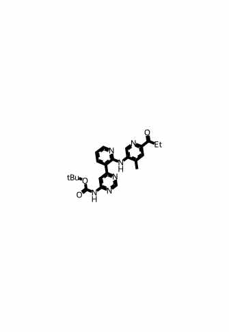 CCC(=O)c1cc(C)c(Nc2ncccc2-c2cc(NC(=O)OC(C)(C)C)ncn2)cn1